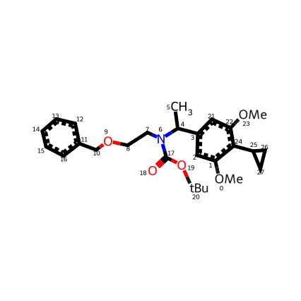 COc1cc(C(C)N(CCOCc2ccccc2)C(=O)OC(C)(C)C)cc(OC)c1C1CC1